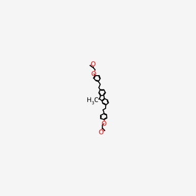 CC1c2cc(CCc3ccc(OCC4CO4)cc3)ccc2-c2ccc(CCc3ccc(OCC4CO4)cc3)cc21